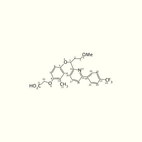 COCCC(Oc1ccc(OCC(=O)O)c(C)c1)c1cccc(-c2ccc(C(F)(F)F)cc2)n1